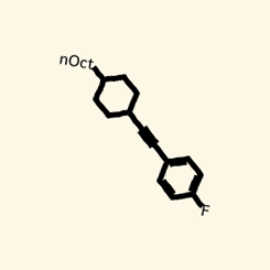 CCCCCCCCC1CCC(C#Cc2ccc(F)cc2)CC1